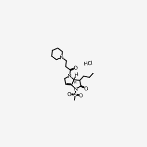 CCCC1C(=O)N(S(C)(=O)=O)C2=CCN(C(=O)CCN3CCCCC3)[C@@H]21.Cl